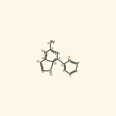 CC(C)c1nc(-c2ccccn2)c2sccc2n1